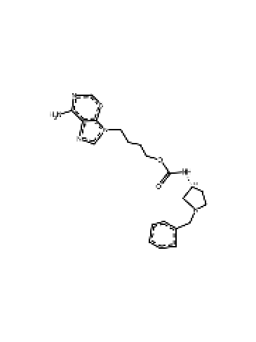 Nc1ncnc2c1ncn2CCCCOC(=O)N[C@@H]1CCN(Cc2ccccc2)C1